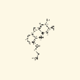 NCCOc1cccc2c1NC1=NC(=O)C(I)C=C1O2